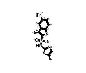 Cc1cnc(NS(=O)(=O)c2sc3ccc(C(C)C)cc3c2C)s1